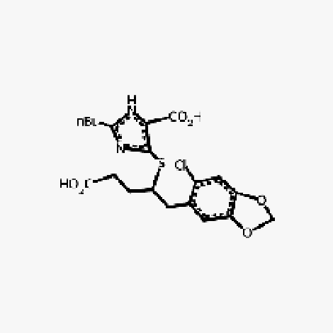 CCCCc1nc(SC(CCC(=O)O)Cc2cc3c(cc2Cl)OCO3)c(C(=O)O)[nH]1